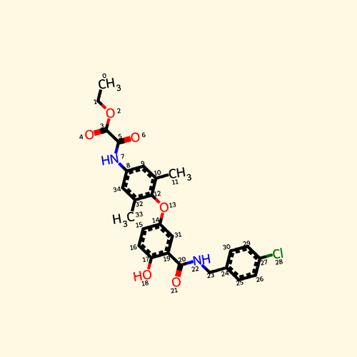 CCOC(=O)C(=O)Nc1cc(C)c(Oc2ccc(O)c(C(=O)NCc3ccc(Cl)cc3)c2)c(C)c1